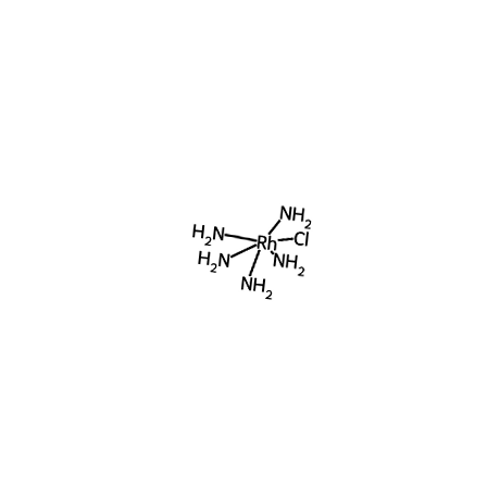 [NH2][Rh]([NH2])([NH2])([NH2])([NH2])[Cl]